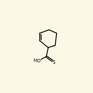 OC(=S)C1C=CCCC1